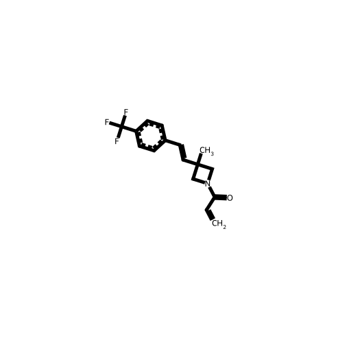 C=CC(=O)N1CC(C)(C=Cc2ccc(C(F)(F)F)cc2)C1